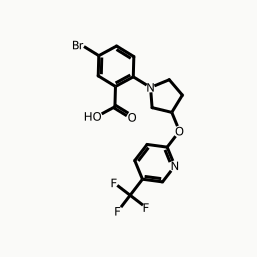 O=C(O)c1cc(Br)ccc1N1CCC(Oc2ccc(C(F)(F)F)cn2)C1